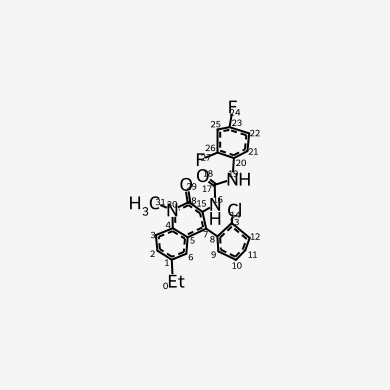 CCc1ccc2c(c1)c(-c1ccccc1Cl)c(NC(=O)Nc1ccc(F)cc1F)c(=O)n2C